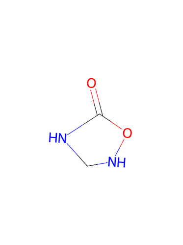 O=C1NCNO1